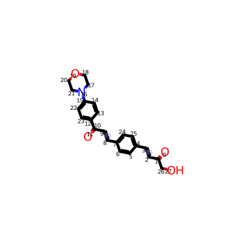 O=C(/C=C/c1ccc(/C=C/C(=O)c2ccc(N3CCOCC3)cc2)cc1)CO